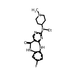 CCN(c1ncc2c(n1)Nc1ccc(F)cc1NC2=O)C1CCN(C)CC1